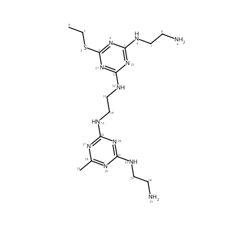 CCSc1nc(NCCN)nc(NCCNc2nc(C)nc(NCCN)n2)n1